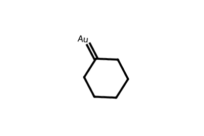 [Au]=[C]1CCCCC1